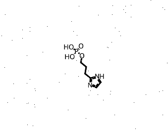 O=P(O)(O)OCCCc1ncc[nH]1